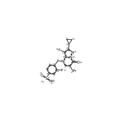 CC(C)c1cn(Cc2ccc([S@@](C)(=N)=O)cc2F)c2c(F)c(C3CC3)nn2c1=O